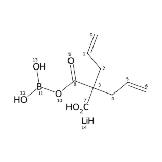 C=CCC(CC=C)(C(=O)O)C(=O)OB(O)O.[LiH]